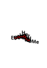 CCOCCCN1CCN(CCCOCC(=O)Nc2cnc(Nc3ccnc(N4CCC(OC)CC4)n3)cc2NC(C)C)CC1